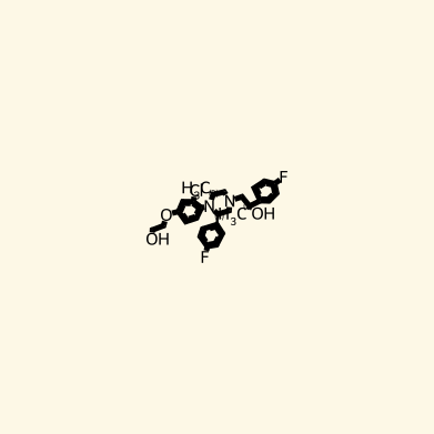 C[C@@H]1CN(C[C@@](C)(O)c2ccc(F)cc2)C[C@@H](c2ccc(F)cc2)N1c1ccc(OCCO)cc1Cl